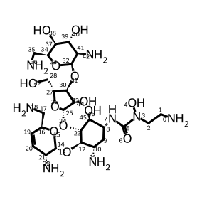 NCCN(O)C(=O)N[C@@H]1C[C@H](N)[C@@H](O[C@H]2O[C@H](CN)C=C[C@H]2N)[C@H](O[C@@H]2O[C@H](CO)[C@@H](O[C@H]3O[C@@H](CN)[C@@H](O)[C@H](O)[C@H]3N)[C@H]2O)[C@H]1O